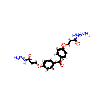 NNC(=O)CCOc1ccc(C(=O)c2ccc(OCCC(=O)NN)cc2)cc1